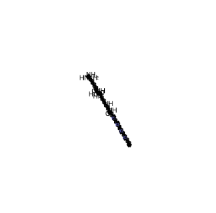 CC(C)=CCC/C(C)=C/CC/C(C)=C/CC/C=C(\C)CC/C=C(\C)CCC(=O)NCCCNCCCCNC(=O)C(O)NC(=O)CCCCCCNC(=N)N